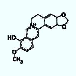 COc1ccc2cc3[n+](cc2c1O)CCC1=CC2OCOC2C=C13